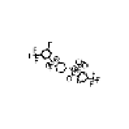 CS(=O)(=O)c1cc(C(F)(F)F)cnc1C(=O)N[C@H]1CC[C@](F)(S(=O)(=O)c2cc(F)cc(C(F)(F)F)c2)CC1